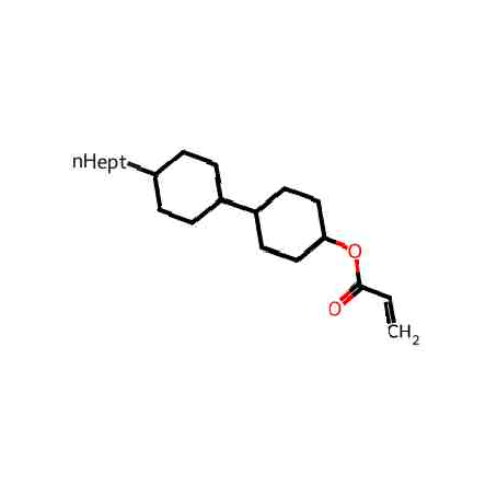 C=CC(=O)OC1CCC(C2CCC(CCCCCCC)CC2)CC1